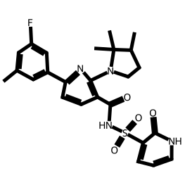 Cc1cc(F)cc(-c2ccc(C(=O)NS(=O)(=O)c3ccc[nH]c3=O)c(N3CCC(C)C3(C)C)n2)c1